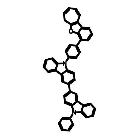 C1=CCc2oc3c(-c4ccc(-n5c6ccccc6c6cc(-c7ccc8c(c7)c7ccccc7n8-c7ccccc7)ccc65)cc4)cccc3c2C=C1